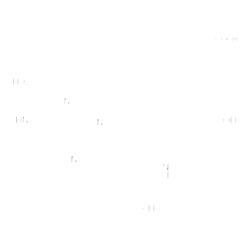 C=c1nc2c(c(=O)[nH]1)=Nc1cc(C)c(NCCO)cc1N2CCCCCCC(=O)O